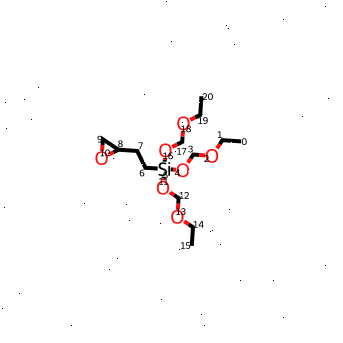 CCOCO[Si](CCC1CO1)(OCOCC)OCOCC